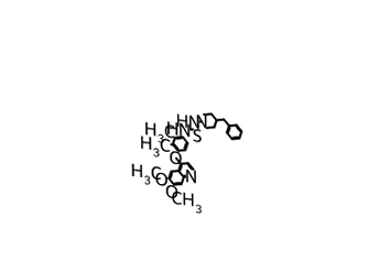 COc1cc2nccc(Oc3ccc(NC(=S)NN4CCC(Cc5ccccc5)CC4)c(C)c3C)c2cc1OC